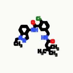 CCn1ncc2c(NC(=O)c3cc(CNC(=O)CC(C)(C)C)ccc3Cl)cccc21